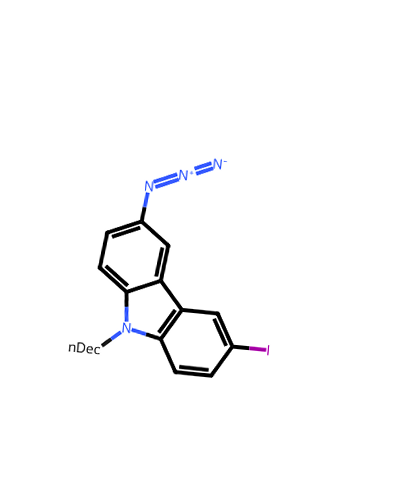 CCCCCCCCCCn1c2ccc(I)cc2c2cc(N=[N+]=[N-])ccc21